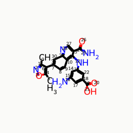 Cc1noc(C)c1-c1ccc2c(Nc3cc(N)cc(C(=O)O)c3)c(C(N)=O)cnc2c1